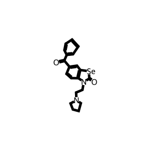 O=C(c1ccccc1)c1ccc2c(c1)[se]c(=O)n2CCN1CCCC1